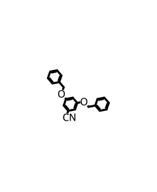 N#Cc1cc(OCc2ccccc2)cc(OCc2ccccc2)c1